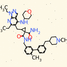 CCc1nc2c(cnn2CC)c(NC2CCOCC2)c1CC1CC1(C(N)=O)C(=O)NCc1ccc(C)c(-c2cccc(CC3CCN(C)CC3)c2)c1